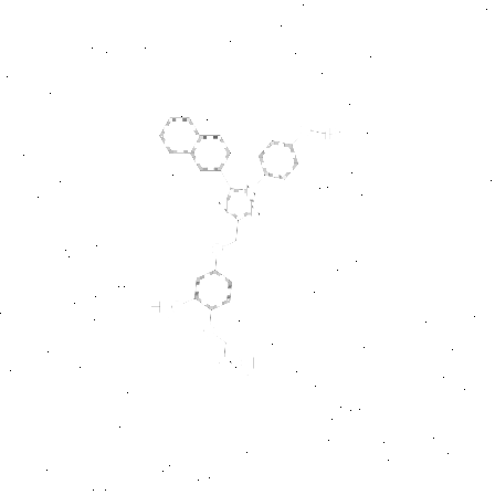 Cc1cc(OCc2nc(-c3ccc4ccccc4c3)n(-c3ccc(OC(C)C)cc3)n2)ccc1OCC(=O)O